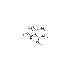 CNC(N)C(NC(C)N)C(C)N